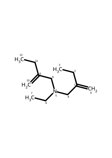 C=C(CC)CN(CC)CC(=C)CC